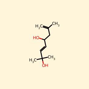 C=C(C)CC(O)/C=C/C(C)(C)O